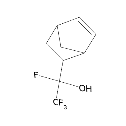 OC(F)(C1CC2C=CC1C2)C(F)(F)F